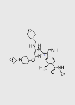 Cc1cc(/C(C=N)=C2\N=C(OC3CCN(C4COC4)CC3)C=C(NCC3CCOCC3)N2)ccc1C(=O)NC1CC1